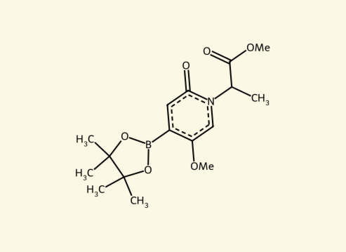 COC(=O)C(C)n1cc(OC)c(B2OC(C)(C)C(C)(C)O2)cc1=O